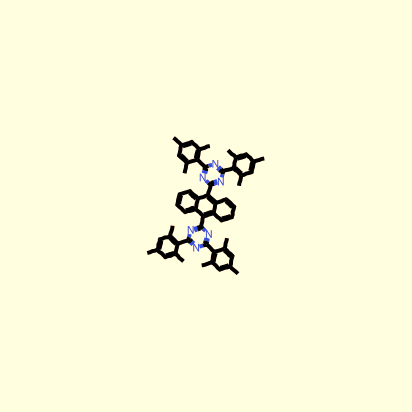 Cc1cc(C)c(-c2nc(-c3c(C)cc(C)cc3C)nc(-c3c4ccccc4c(-c4nc(-c5c(C)cc(C)cc5C)nc(-c5c(C)cc(C)cc5C)n4)c4ccccc34)n2)c(C)c1